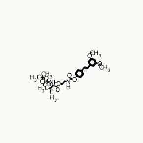 COc1cc(/C=C/c2ccc(OC(=O)NCCOC(=O)C(NC(=O)OC(C)(C)C)C(C)C)cc2)cc(OC)c1